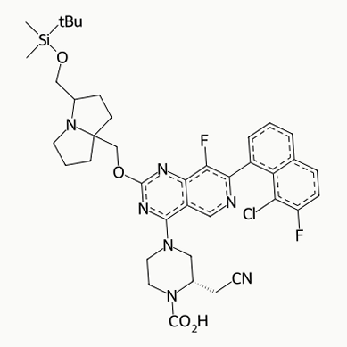 CC(C)(C)[Si](C)(C)OCC1CCC2(COc3nc(N4CCN(C(=O)O)[C@@H](CC#N)C4)c4cnc(-c5cccc6ccc(F)c(Cl)c56)c(F)c4n3)CCCN12